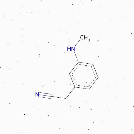 CNc1cccc(CC#N)c1